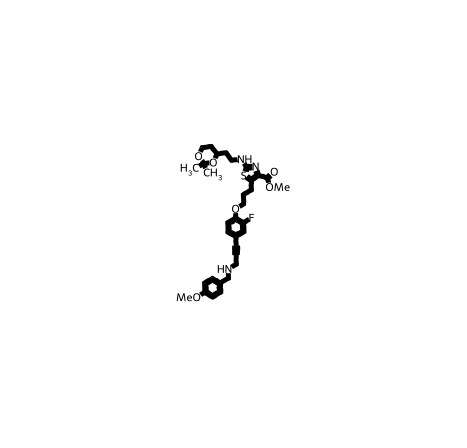 COC(=O)c1nc(NCCC2CCOC(C)(C)O2)sc1CCCOc1ccc(C#CCNCc2ccc(OC)cc2)cc1F